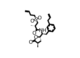 C=CCCS(=O)(=O)C[C@@H](C)C(=O)N[C@@H](Cc1cccc(CC=C)c1)[C@@H]1C[C@@H](C)C(=O)O1